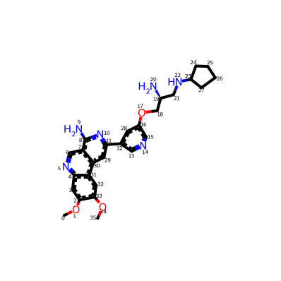 COc1cc2ncc3c(N)nc(-c4cncc(OC[C@@H](N)CNC5CCCC5)c4)cc3c2cc1OC